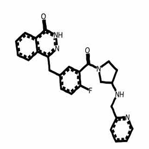 O=C(c1cc(Cc2n[nH]c(=O)c3ccccc23)ccc1F)N1CCC(NCc2ccccn2)C1